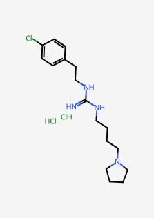 Cl.Cl.N=C(NCCCCN1CCCC1)NCCc1ccc(Cl)cc1